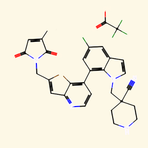 CC1=CC(=O)N(Cc2cc3nccc(-c4cc(Cl)cc5ccn(CC6(C#N)CCNCC6)c45)c3s2)C1=O.O=C(O)C(F)(F)F